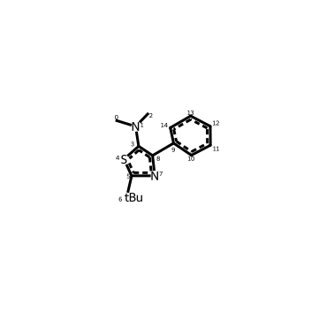 CN(C)c1sc(C(C)(C)C)nc1-c1ccccc1